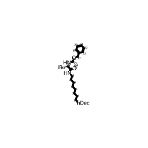 CCCCCCCCCCCCCCCCCCNC(=O)[C@@H](NC(=O)OCc1ccccc1)[C@@H](C)CC